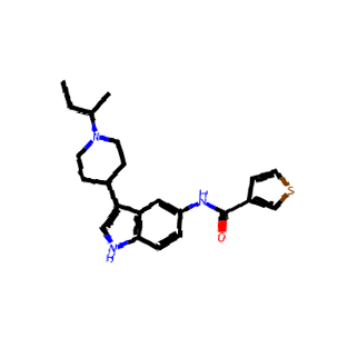 CCC(C)N1CCC(c2c[nH]c3ccc(NC(=O)c4ccsc4)cc23)CC1